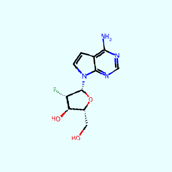 Nc1ncnc2c1ccn2[C@@H]1O[C@H](CO)[C@@H](O)[C@@H]1F